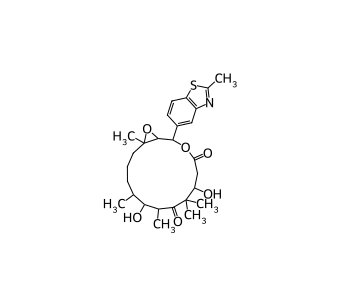 Cc1nc2cc(C3OC(=O)CC(O)C(C)(C)C(=O)C(C)C(O)C(C)CCCC4(C)OC34)ccc2s1